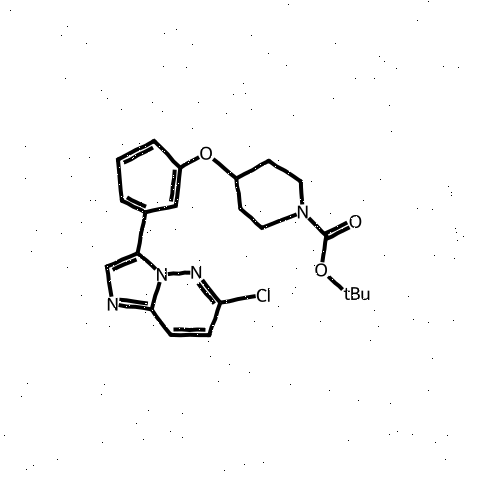 CC(C)(C)OC(=O)N1CCC(Oc2cccc(-c3cnc4ccc(Cl)nn34)c2)CC1